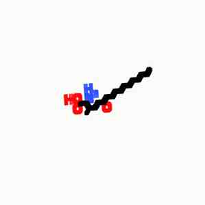 CCCCCCCCCCCC(=O)CC[C@@H](C)[C@@H](N)C(=O)O